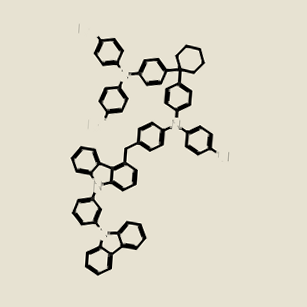 Cc1ccc(N(c2ccc(C)cc2)c2ccc(C3(c4ccc(N(c5ccc(C)cc5)c5ccc(Cc6cccc7c6c6ccccc6n7-c6cccc(-n7c8ccccc8c8ccccc87)c6)cc5)cc4)CCCCC3)cc2)cc1